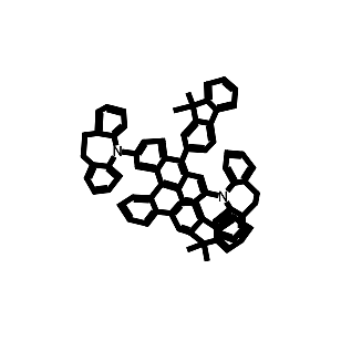 CC1(C)c2ccccc2-c2ccc(-c3ccccc3-c3c4ccc(N5c6ccccc6CCc6ccccc65)cc4c(-c4ccc5c(c4)C(C)(C)c4ccccc4-5)c4ccc(N5c6ccccc6CCc6ccccc65)cc34)cc21